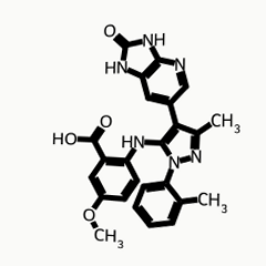 COc1ccc(Nc2c(-c3cnc4[nH]c(=O)[nH]c4c3)c(C)nn2-c2ccccc2C)c(C(=O)O)c1